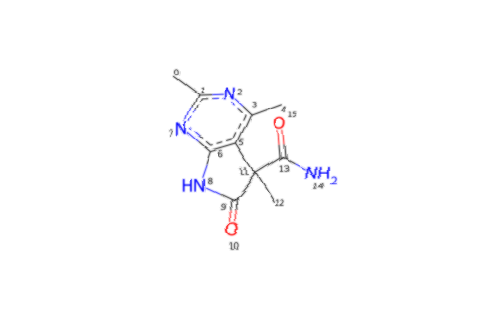 Cc1nc(C)c2c(n1)NC(=O)C2(C)C(N)=O